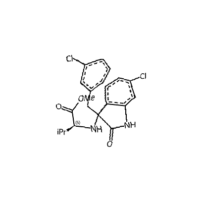 COC(=O)[C@@H](NC1(Cc2cccc(Cl)c2)C(=O)Nc2cc(Cl)ccc21)C(C)C